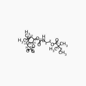 CCC(C)(C)C(=O)OCCNC(=O)OC1C2OS(=O)(=O)C3CC1C(C)(C)C23